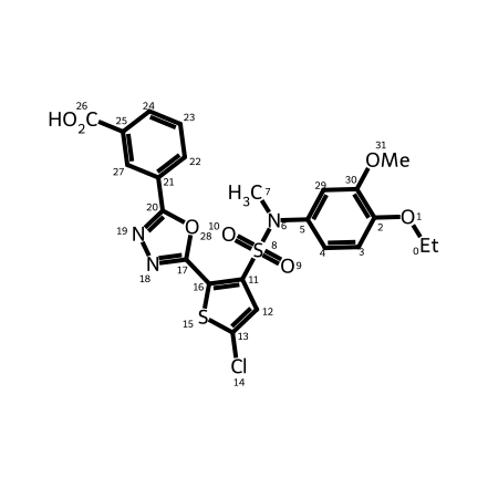 CCOc1ccc(N(C)S(=O)(=O)c2cc(Cl)sc2-c2nnc(-c3cccc(C(=O)O)c3)o2)cc1OC